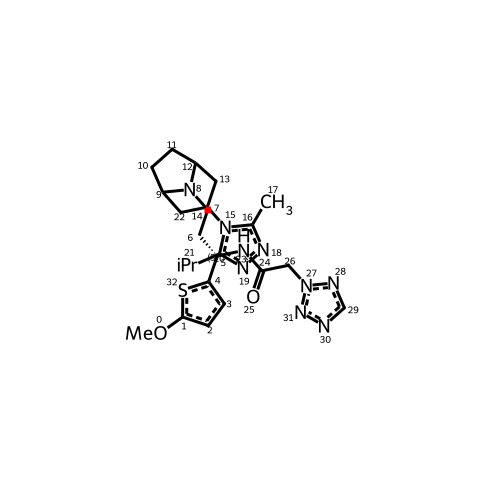 COc1ccc([C@H](CCN2C3CCC2CC(n2c(C)nnc2C(C)C)C3)NC(=O)Cn2ncnn2)s1